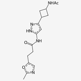 CC(=O)NC1CC(c2cc(NC(=O)CCc3cnc(C)o3)[nH]n2)C1